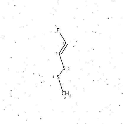 CSSC=CF